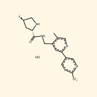 Cc1cnc(-c2cnc(C(F)(F)F)nc2)cc1CNC(=O)[C@@H]1C[C@@H](F)CN1.Cl